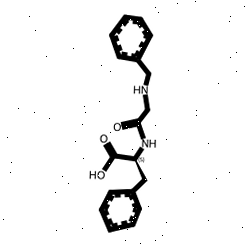 O=C(CNCc1ccccc1)N[C@@H](Cc1ccccc1)C(=O)O